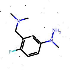 CN(C)Cc1cc(N(C)N)ccc1F